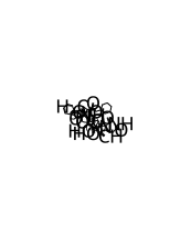 C#C[C@]1(O)[C@H](n2ccc(=O)[nH]c2=O)O[C@]2(F)C(OP(=O)(NC(C)C(=O)OC3CCCCC3)Oc3ccccc3)[C@@]21O